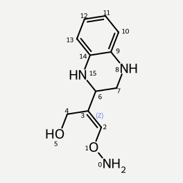 NO/C=C(\CO)C1CNc2ccccc2N1